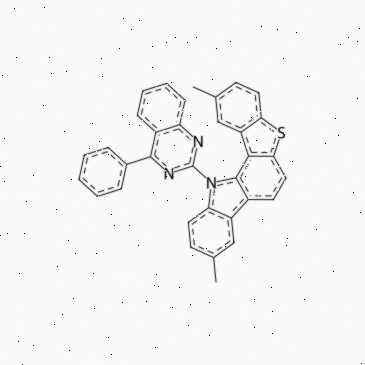 Cc1ccc2sc3ccc4c5cc(C)ccc5n(-c5nc(-c6ccccc6)c6ccccc6n5)c4c3c2c1